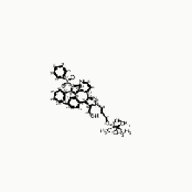 CC(C)(C)[Si](C)(C)OCCCn1nc(-c2ccnc3c2cc(-c2ccccc2)n3S(=O)(=O)c2ccccc2)c(-c2ccc(F)cc2)c1CO